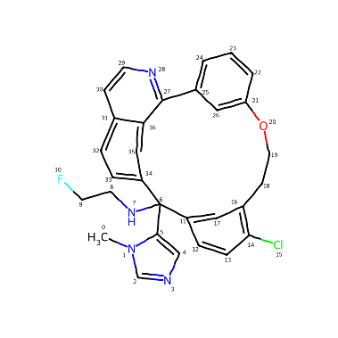 Cn1cncc1C1(NCCF)c2ccc(Cl)c(c2)CCOc2cccc(c2)-c2nccc3ccc1cc23